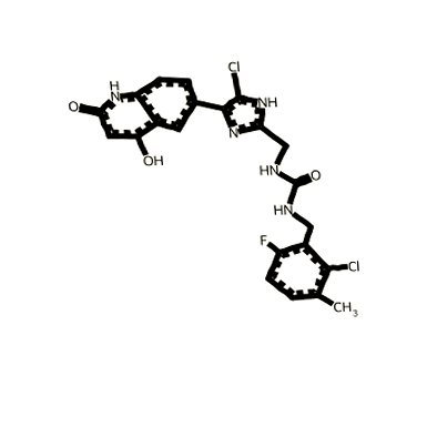 Cc1ccc(F)c(CNC(=O)NCc2nc(-c3ccc4[nH]c(=O)cc(O)c4c3)c(Cl)[nH]2)c1Cl